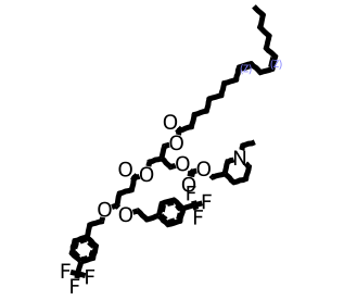 CCCCC/C=C\C/C=C\CCCCCCCC(=O)OCC(COC(=O)CCC(OCCc1ccc(C(F)(F)F)cc1)OCCc1ccc(C(F)(F)F)cc1)COC(=O)OCC1CCCN(CC)C1